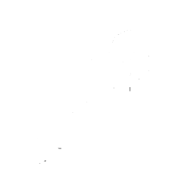 CC1=CC(C)(C)c2cc3c(cc21)-c1cc2c(cc1C3)C(C)(C)[C]([Zr+2]([C]1=CC=CC1)=[C](Cc1ccccc1)Cc1ccccc1)=C2C.[Cl-].[Cl-]